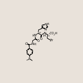 CC(C)C[C@H](NC(=O)[C@H](Cc1c[nH]cn1)NC(=O)CNC(=O)c1ccc(N(C)C)cc1)C(=O)O